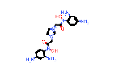 Nc1ccc(N(O)C(=O)Cn2cc[n+](CC(=O)N(O)c3ccc(N)cc3N)c2)c(N)c1